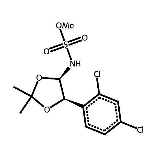 COS(=O)(=O)N[C@@H]1OC(C)(C)O[C@@H]1c1ccc(Cl)cc1Cl